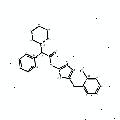 O=C(Nc1ncc(Cc2ccccc2Cl)s1)C(c1ccccc1)C1CCCCC1